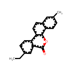 CCc1ccc2c(c1)c(=O)oc1c3ccc(C)cc3ccc21